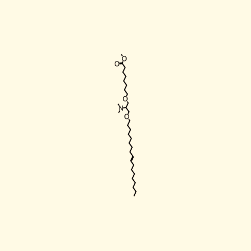 CCCCCCCC/C=C/CCCCCCCCOCC(COCCCCCCCC(=O)OC)N(C)C